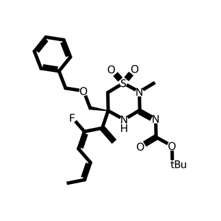 C=C(/C(F)=C\C=C/C)[C@]1(COCc2ccccc2)CS(=O)(=O)N(C)/C(=N/C(=O)OC(C)(C)C)N1